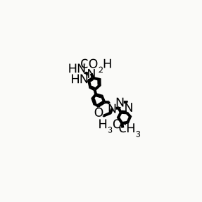 CC1(C)CCc2ncnc(N3CCOc4ccc(-c5ccc6nc(NC(=O)O)[nH]c6c5)cc4C3)c2C1